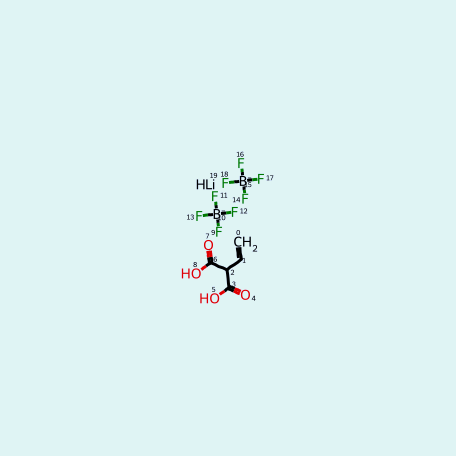 C=CC(C(=O)O)C(=O)O.F[B-](F)(F)F.F[B-](F)(F)F.[LiH]